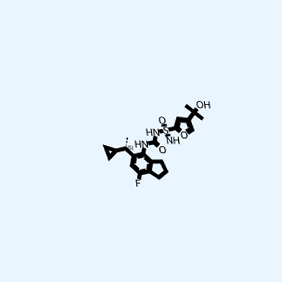 C[C@H](c1cc(F)c2c(c1NC(=O)NS(=N)(=O)c1cc(C(C)(C)O)co1)CCC2)C1CC1